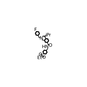 CCS(=O)(=O)c1ccc(CNC(=O)c2ccc3c(c2)CN(Cc2ccc(F)cc2)C[C@H]3C(C)C)cc1